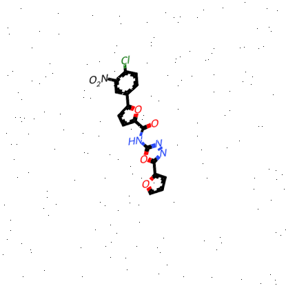 O=C(Nc1nnc(-c2ccco2)o1)c1ccc(-c2ccc(Cl)c([N+](=O)[O-])c2)o1